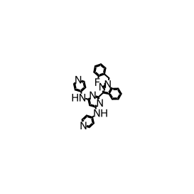 Fc1ccccc1Cn1nc(-c2nc(Nc3ccncc3)cc(Nc3ccncc3)n2)c2ccccc21